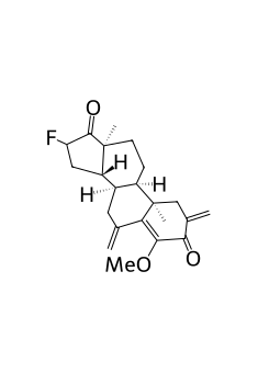 C=C1C[C@@]2(C)C(=C(OC)C1=O)C(=C)C[C@@H]1[C@H]2CC[C@]2(C)C(=O)C(F)C[C@@H]12